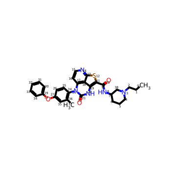 CCCN1CCCC(NC(=O)c2sc3nccc4c3c2NC(=O)N4c2ccc(Oc3ccccc3)cc2C)C1